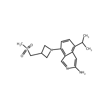 CC(C)c1ccc(N2CC(CS(C)(=O)=O)C2)c2cnc(N)cc12